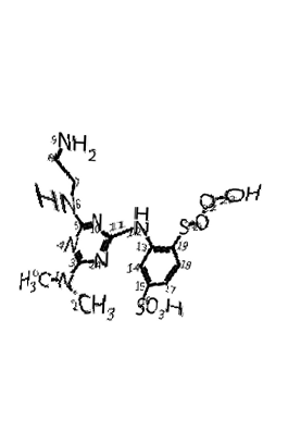 CN(C)c1nc(NCCN)nc(Nc2cc(S(=O)(=O)O)ccc2SOOO)n1